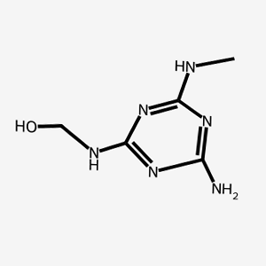 CNc1nc(N)nc(NCO)n1